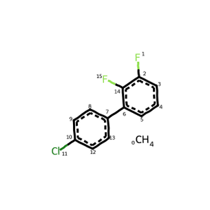 C.Fc1cccc(-c2ccc(Cl)cc2)c1F